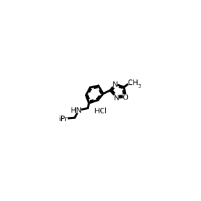 Cc1nc(-c2cccc(CNCC(C)C)c2)no1.Cl